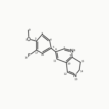 COc1ccc(-c2cnc3c(c2)C=NCC3)cc1F